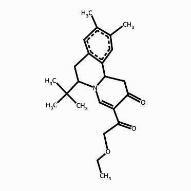 CCOCC(=O)C1=CN2C(CC1=O)c1cc(C)c(C)cc1CC2C(C)(C)C